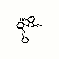 C=C(c1ccccc1OCc1ccccc1)c1c(O)cccc1C(=O)O